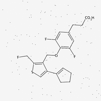 O=C(O)CCc1cc(F)c(OCc2c(C3=CCCC3)csc2CF)c(F)c1